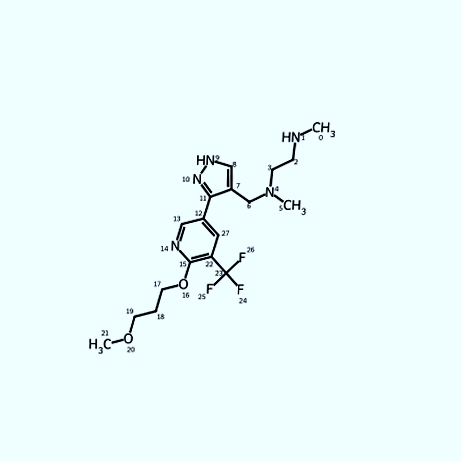 CNCCN(C)Cc1c[nH]nc1-c1cnc(OCCCOC)c(C(F)(F)F)c1